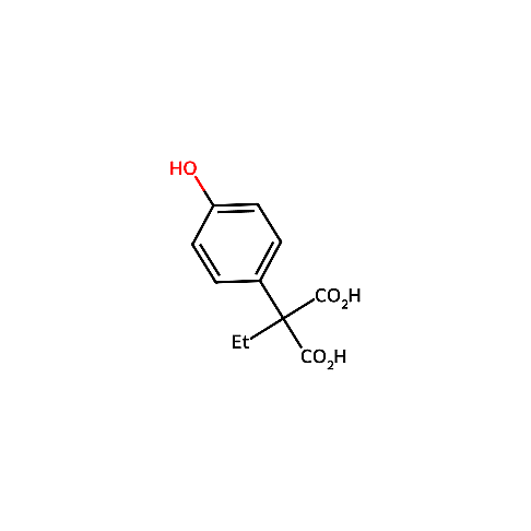 CCC(C(=O)O)(C(=O)O)c1ccc(O)cc1